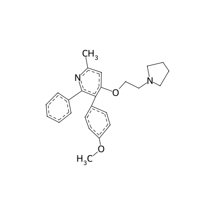 COc1ccc(-c2c(OCCN3CCCC3)cc(C)nc2-c2ccccc2)cc1